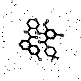 O=Nc1cc(Br)cc(C(=O)N2CCC(F)(F)CC2)c1N[C@@H]1COCCC1NC(=O)c1cncc2cc(Cl)ccc12